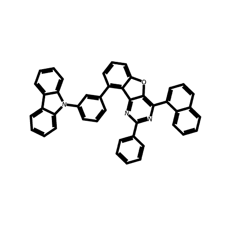 c1ccc(-c2nc(-c3cccc4ccccc34)c3oc4cccc(-c5cccc(-n6c7ccccc7c7ccccc76)c5)c4c3n2)cc1